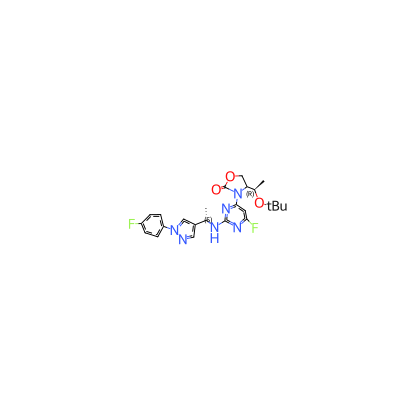 C[C@H](Nc1nc(F)cc(N2C(=O)OCC2[C@@H](C)OC(C)(C)C)n1)c1cnn(-c2ccc(F)cc2)c1